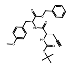 C#CC[C@H](NC(=O)OC(C)(C)C)C(=O)N[C@@H](Cc1ccc(OC)cc1)C(=O)OCc1ccccc1